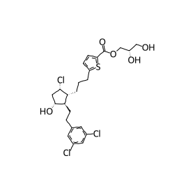 O=C(OC[C@@H](O)CO)c1ccc(CCC[C@@H]2[C@@H](CCc3cc(Cl)cc(Cl)c3)[C@H](O)C[C@@H]2Cl)s1